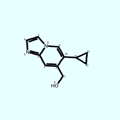 OCc1cc2nccn2cc1C1CC1